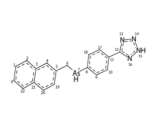 c1ccc2cc(C[AsH]c3ccc(-c4nn[nH]n4)cc3)ccc2c1